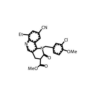 CCc1cc(C#N)cc2c3c(cnc12)CC(C(=O)OC)C(=O)N3Cc1ccc(OC)c(Cl)c1